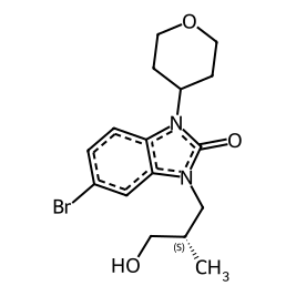 C[C@H](CO)Cn1c(=O)n(C2CCOCC2)c2ccc(Br)cc21